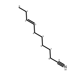 CCC=CCCCCCC#N